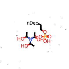 CC(O)N(C(C)O)C(C)O.CCCCCCCCCCCCOP(=O)(O)O